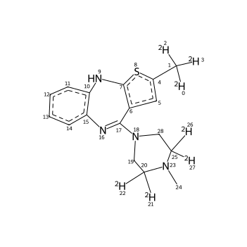 [2H]C([2H])([2H])c1cc2c(s1)Nc1ccccc1N=C2N1CC([2H])([2H])N(C)C([2H])([2H])C1